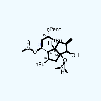 C=C1C[C@H]2[C@@H](/C(=C\[C@H](CCCCC)C(C)(C)C)O[SiH](C)C)[C@H](CCCC)C[C@@]2(O[SiH](C)C)C1O